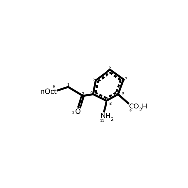 CCCCCCCCCC(=O)c1cccc(C(=O)O)c1N